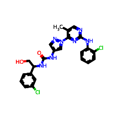 Cc1cnc(Nc2ccccc2Cl)nc1-n1cc(NC(=O)NC(CO)c2cccc(Cl)c2)cn1